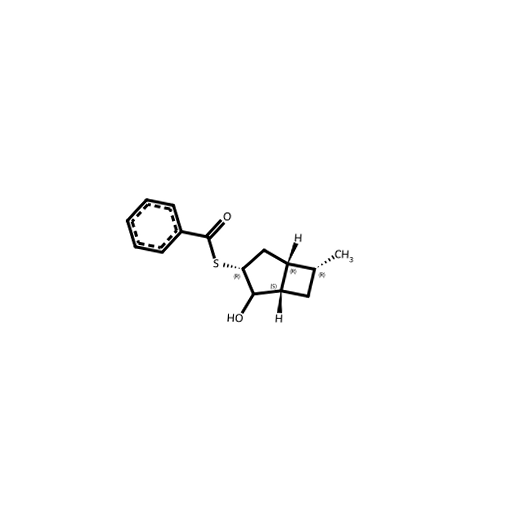 C[C@@H]1C[C@@H]2C(O)[C@H](SC(=O)c3ccccc3)C[C@H]12